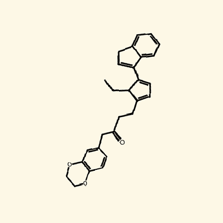 CCC1C(CCC(=O)Cc2ccc3c(c2)OCCO3)=CC=C1C1=CCc2ccccc21